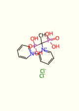 CC([n+]1ccccc1-[n+]1ccccc1)(P(=O)(O)O)P(=O)(O)O.[Cl-].[Cl-]